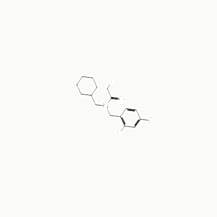 O=C(CCl)N(Cc1ccc(F)cc1F)CC1CCCCC1